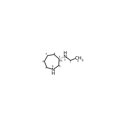 CCN[C@H]1CCCCNC1